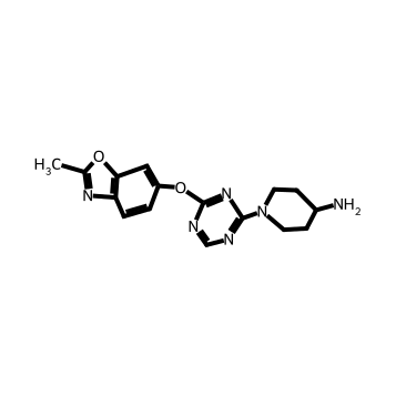 Cc1nc2ccc(Oc3ncnc(N4CCC(N)CC4)n3)cc2o1